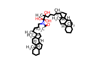 C[C@H](CCCN(C(=O)C(=O)O)C(O)(O)C(C)(O)CCC[C@@H](C)[C@H]1CC[C@H]2[C@@H]3CCC4CCCC[C@]4(C)[C@H]3CC[C@]12C)[C@H]1CC[C@H]2[C@@H]3CCC4CCCC[C@]4(C)[C@H]3CC[C@]12C